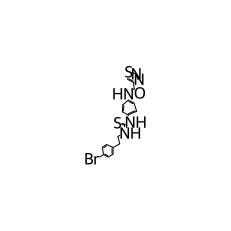 O=C(Nc1ccc(NC(=S)NCCc2ccc(Br)cc2)cc1)c1csnn1